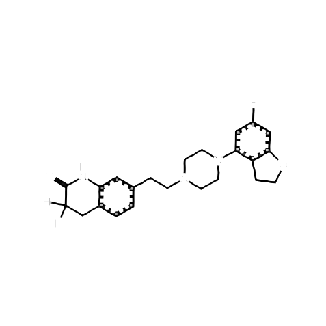 [2H]C1([2H])Cc2ccc(CCN3CCN(c4cc(F)cc5c4CCO5)CC3)cc2NC1=O